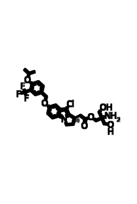 CC(C)Oc1ccc(COc2ccc3c(c2)c(Cl)c2n3CC[C@@H]2CC(=O)OCC(N)(CO)CO)cc1C(F)(F)F